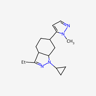 CCC1=NN(C2CC2)C2CC(c3ccnn3C)CCC12